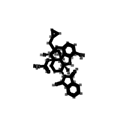 CC(=O)O[C@@]12CC[C@@H](N3C(=O)c4ccccc4C3=O)[C@@H]3Oc4c(O)ccc5c4[C@@]31CCN(CC1CC1)[C@@H]2C5